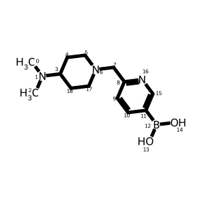 CN(C)C1CCN(Cc2ccc(B(O)O)cn2)CC1